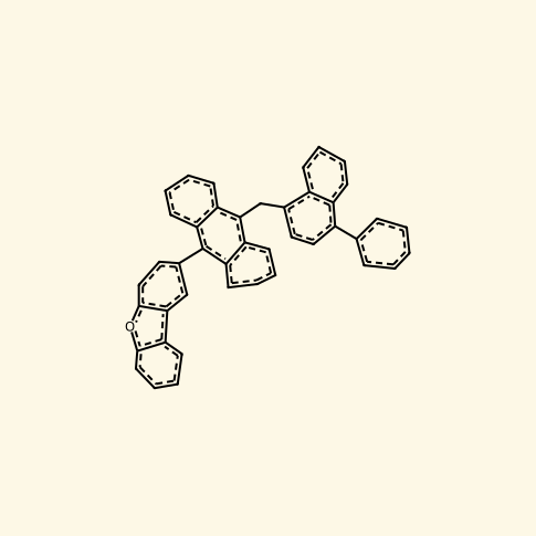 c1ccc(-c2ccc(Cc3c4ccccc4c(-c4ccc5oc6ccccc6c5c4)c4ccccc34)c3ccccc23)cc1